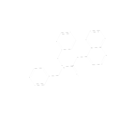 O=C(Cc1cccc2ccccc12)N(Cc1ccccc1)Cc1ccccc1